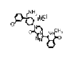 Cl.Cl.Cn1nc(-c2nnc3n2CCN([C@H]2CC[C@@](CN)(c4cccc(Cl)c4)CC2)C3=O)c2ccccc2c1=O